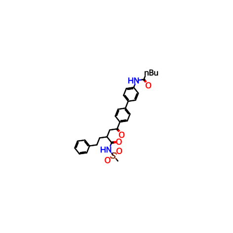 CCCCC(=O)Nc1ccc(-c2ccc(C(=O)CC(CCc3ccccc3)C(=O)NS(C)(=O)=O)cc2)cc1